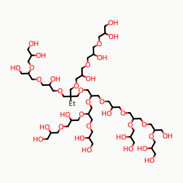 CCC(COCC(O)COCC(O)COCC(O)CO)(COCC(O)COCC(CO)OCC(O)CO)COCC(COCC(O)COCC(COCC(CO)OCC(O)CO)OCC(O)CO)OCC(COCC(O)CO)OCC(O)COCC(O)CO